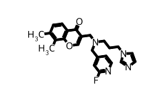 Cc1ccc2c(=O)c(CN(CCCn3ccnc3)Cc3ccnc(F)c3)coc2c1C